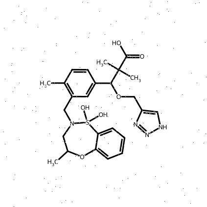 Cc1ccc(C(OCc2c[nH]nn2)C(C)(C)C(=O)O)cc1CN1CC(C)Oc2ccccc2S1(O)O